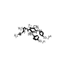 C/N=N/c1sc(/N=N/c2c(Nc3ccc(S(=O)(=O)O)cc3)nc(Nc3ccc(S(=O)(=O)O)cc3)c(C#N)c2C)cc1C